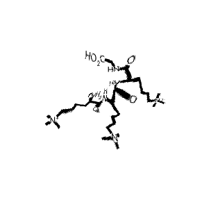 C[N+](C)(C)CCCCC(N)C(=O)NC(CCCC[N+](C)(C)C)C(=O)NC(CCCC[N+](C)(C)C)C(=O)NCC(=O)O